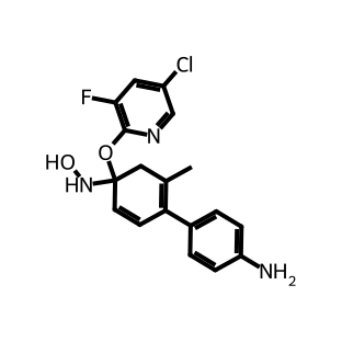 CC1=C(c2ccc(N)cc2)C=CC(NO)(Oc2ncc(Cl)cc2F)C1